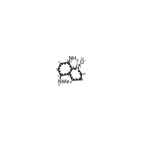 CNc1ccc(N)c2c1ccc[n+]2[O-]